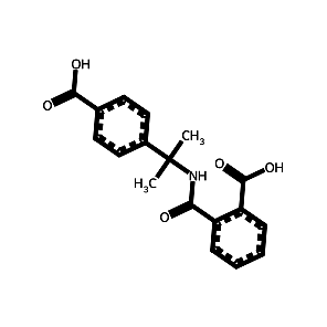 CC(C)(NC(=O)c1ccccc1C(=O)O)c1ccc(C(=O)O)cc1